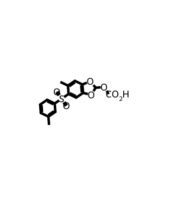 Cc1cccc(S(=O)(=O)c2cc3c(cc2C)OC(OC(=O)O)O3)c1